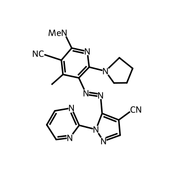 CNc1nc(N2CCCC2)c(/N=N/c2c(C#N)cnn2-c2ncccn2)c(C)c1C#N